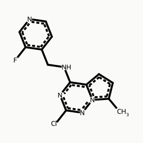 Cc1ccc2c(NCc3ccncc3F)nc(Cl)nn12